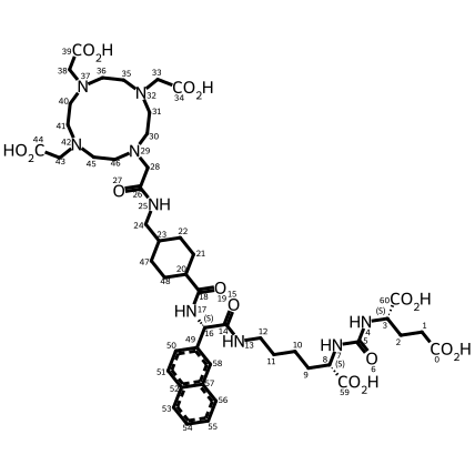 O=C(O)CC[C@H](NC(=O)N[C@@H](CCCCNC(=O)[C@@H](NC(=O)C1CCC(CNC(=O)CN2CCN(CC(=O)O)CCN(CC(=O)O)CCN(CC(=O)O)CC2)CC1)c1ccc2ccccc2c1)C(=O)O)C(=O)O